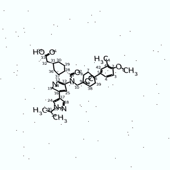 COc1ccc(C23CCC(CN(c4cncc(-c5cnn(C(C)C)c5)c4)C(=O)[C@H]4CC[C@H](CC(=O)O)CC4)(CC2)CC3)cc1C